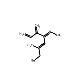 C=CC(=C)C(/C=C(\C)CC(C)CC)=N/C